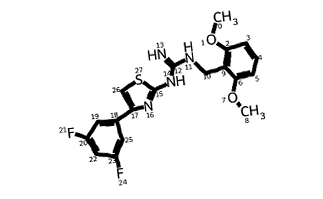 COc1cccc(OC)c1CNC(=N)Nc1nc(-c2cc(F)cc(F)c2)cs1